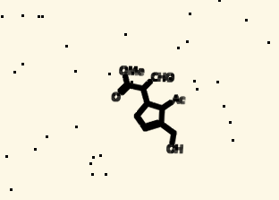 COC(=O)C(C=O)C1CC=C(CO)C1C(C)=O